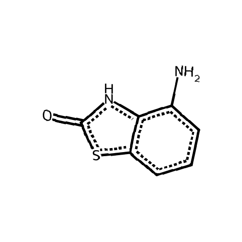 Nc1cccc2sc(=O)[nH]c12